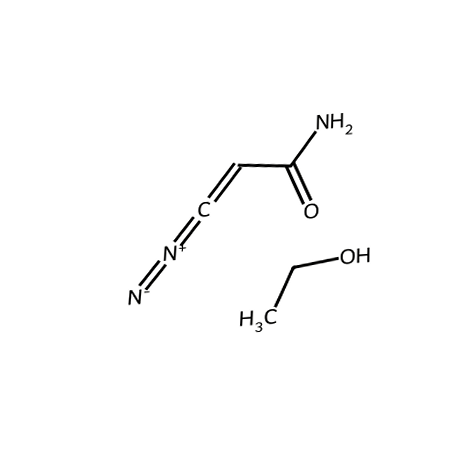 CCO.[N-]=[N+]=C=CC(N)=O